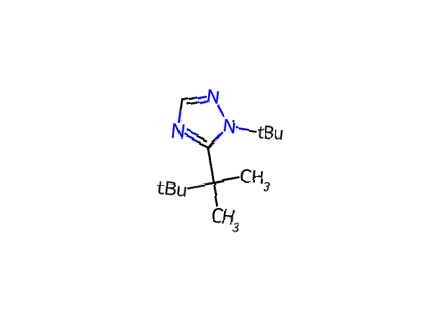 CC(C)(C)n1ncnc1C(C)(C)C(C)(C)C